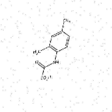 Cc1ccc(NC(=O)C(=O)O)c(C)c1